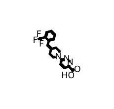 O=C(O)c1ccc(N2CCC(=Cc3ccccc3C(F)(F)F)CC2)nn1